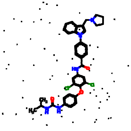 CC(C)NC(=O)Nc1ccc(Oc2c(Cl)cc(NC(=O)c3ccc(-n4cc(CN5CCCC5)c5ccccc54)cc3)cc2Cl)cc1